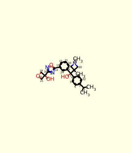 CC(C)c1ccc([C@](O)(c2cccc(-c3nc(C4(O)COC4)no3)c2)C2(C)CN(C)C2)cc1